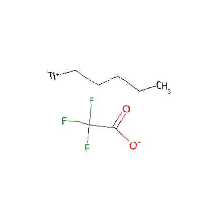 CCCC[CH2][Tl+].O=C([O-])C(F)(F)F